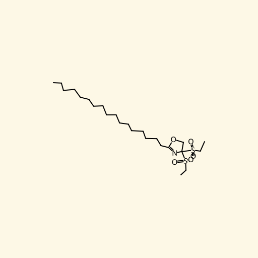 CCCCCCCCCCCCCCCCCC1=NC(S(=O)(=O)CC)(S(=O)(=O)CC)CO1